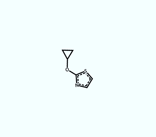 c1csc(OC2CC2)n1